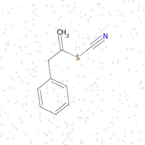 C=C(Cc1ccccc1)SC#N